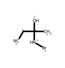 CC(O)(CC#N)NBr